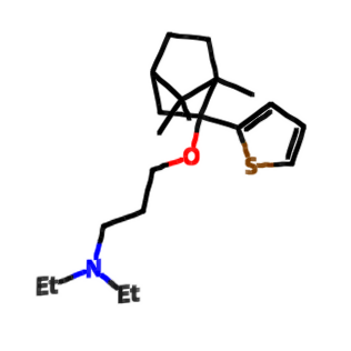 CCN(CC)CCCOC1(c2cccs2)CC2CCC1(C)C2(C)C